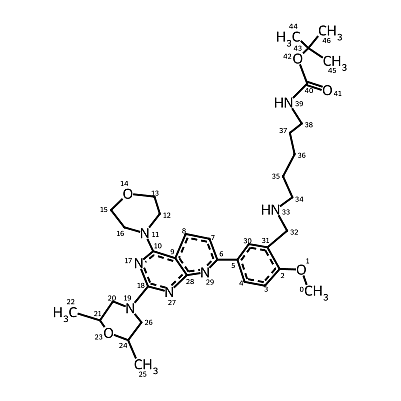 COc1ccc(-c2ccc3c(N4CCOCC4)nc(N4CC(C)OC(C)C4)nc3n2)cc1CNCCCCCNC(=O)OC(C)(C)C